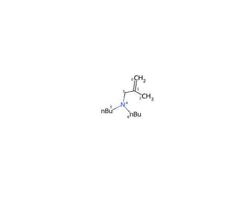 C=C(C)CN(CCCC)CCCC